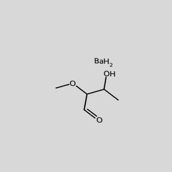 COC(C=O)C(C)O.[BaH2]